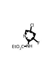 CCOC(=O)Nc1ncc(Cl)cc1F